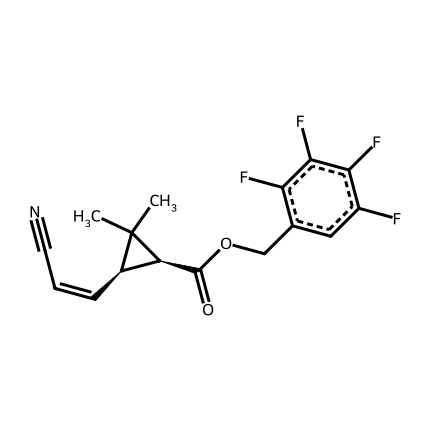 CC1(C)[C@H](/C=C\C#N)[C@@H]1C(=O)OCc1cc(F)c(F)c(F)c1F